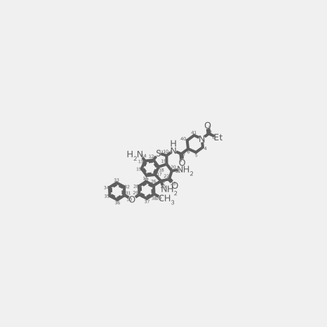 CCC(=O)N1CCC(C(=O)NC2Sc3c(N)ccc4c3C2C(N)C(=O)C4(N)c2ccc(Oc3ccccc3)cc2C)CC1